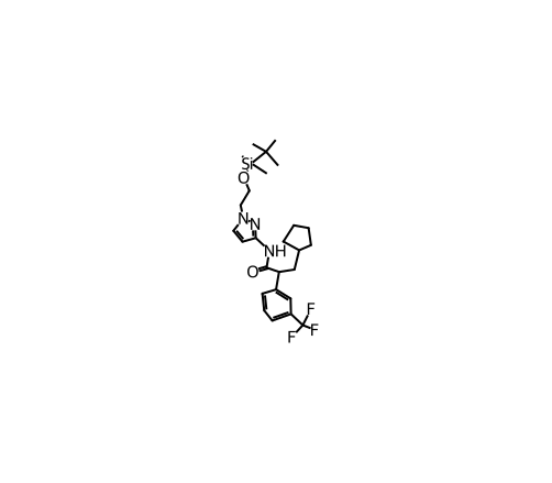 CC(C)(C)[Si](C)(C)OCCn1ccc(NC(=O)C(CC2CCCC2)c2cccc(C(F)(F)F)c2)n1